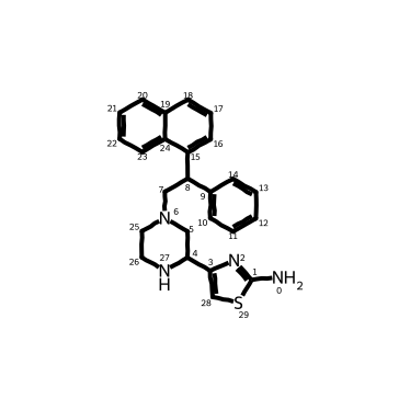 Nc1nc(C2CN(CC(c3ccccc3)c3cccc4ccccc34)CCN2)cs1